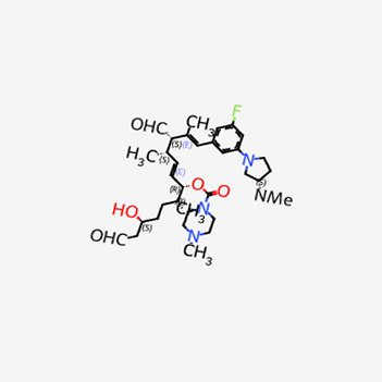 CN[C@H]1CCN(c2cc(F)cc(/C=C(\C)[C@@H](C=O)[C@@H](C)/C=C/[C@H](OC(=O)N3CCN(C)CC3)[C@H](C)CC[C@H](O)CC=O)c2)C1